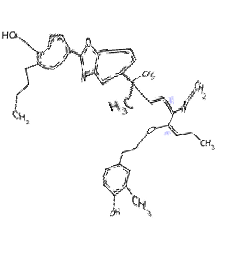 C=NC(=C/CC(C)(C)c1ccc2oc(-c3ccc(O)c(CCCC)c3)nc2c1)/C(=C\CC)OCCc1ccc(O)c(C)c1